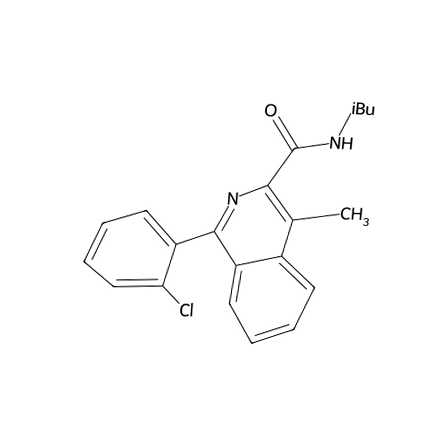 CCC(C)NC(=O)c1nc(-c2ccccc2Cl)c2ccccc2c1C